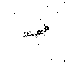 CCCN(CCCNC(=O)c1ccc2c(c1)C(=O)N(Cc1cccc(I)c1)C2)C(C)C(C)C